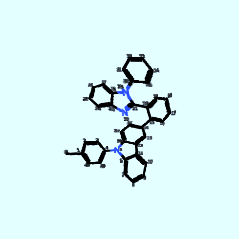 Cc1ccc(-n2c3ccccc3c3cc(-c4ccccc4-c4nc5ccccc5n4-c4ccccc4)ccc32)cc1